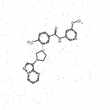 Cc1ccc(C(=O)Nc2cncc(OC(F)(F)F)c2)cc1[C@@H]1CCN(c2cnn3cccnc23)C1